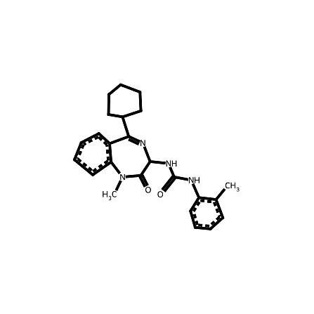 Cc1ccccc1NC(=O)NC1N=C(C2CCCCC2)c2ccccc2N(C)C1=O